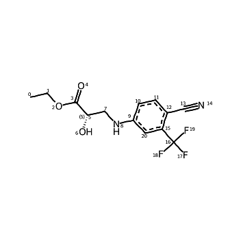 CCOC(=O)[C@@H](O)CNc1ccc(C#N)c(C(F)(F)F)c1